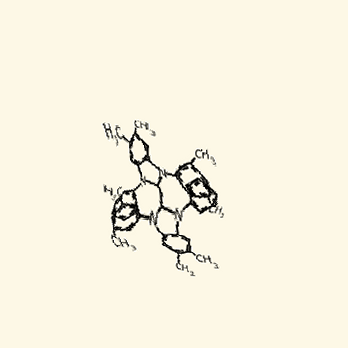 Cc1cc(C)cc(N2c3cc(C)c(C)cc3N(c3ccccc3)C2C2N(c3ccccc3)c3cc(C)c(C)cc3N2c2cc(C)cc(C)c2)c1